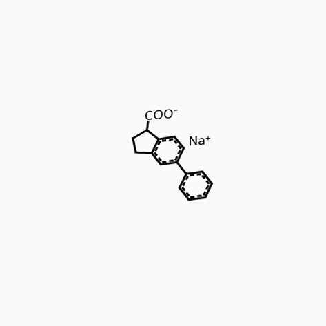 O=C([O-])C1CCc2cc(-c3ccccc3)ccc21.[Na+]